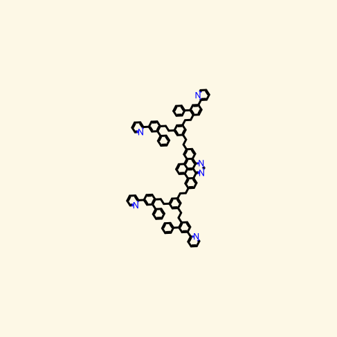 c1ccc(-c2cc(-c3ccccn3)ccc2CCc2cc(CCc3ccc4c(c3)c3cccc5c6cc(CCc7cc(CCc8ccc(-c9ccccn9)cc8-c8ccccc8)cc(CCc8ccc(-c9ccccn9)cc8-c8ccccc8)c7)ccc6c6ncnc4c6c35)cc(CCc3ccc(-c4ccccn4)cc3-c3ccccc3)c2)cc1